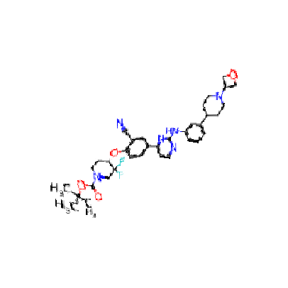 CC(C)(C)OC(=O)N1CC[C@H](Oc2ccc(-c3ccnc(Nc4cccc(C5CCN(C6COC6)CC5)c4)n3)cc2C#N)C(F)(F)C1